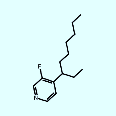 CCCCCCC(CC)c1ccncc1F